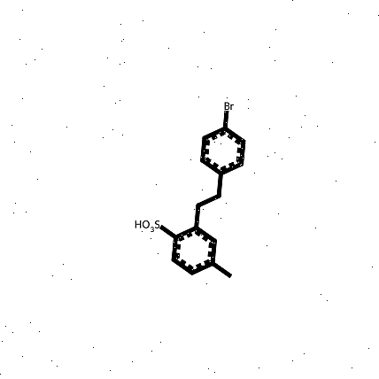 Cc1ccc(S(=O)(=O)O)c(CCc2ccc(Br)cc2)c1